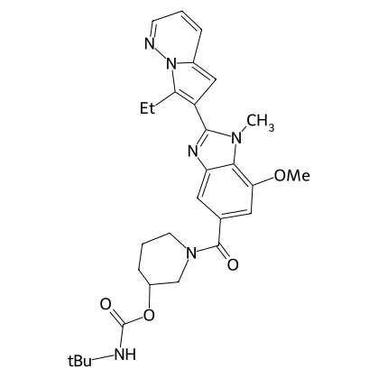 CCc1c(-c2nc3cc(C(=O)N4CCCC(OC(=O)NC(C)(C)C)C4)cc(OC)c3n2C)cc2cccnn12